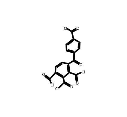 O=C(Cl)c1ccc(C(=O)c2ccc(C(=O)Cl)c(C(=O)Cl)c2C(=O)Cl)cc1